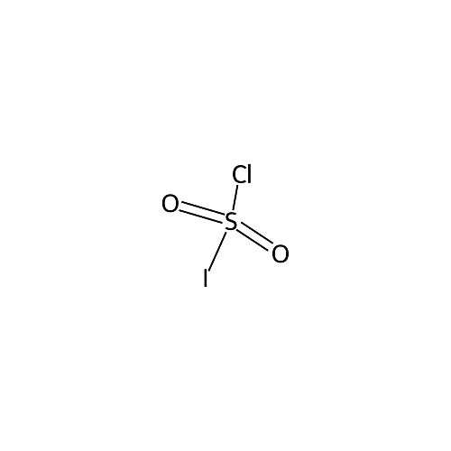 O=S(=O)(Cl)I